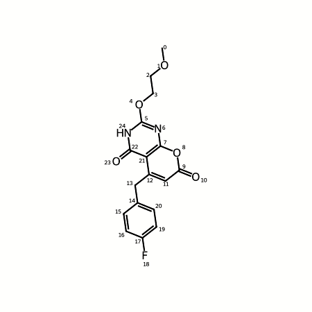 COCCOc1nc2oc(=O)cc(Cc3ccc(F)cc3)c2c(=O)[nH]1